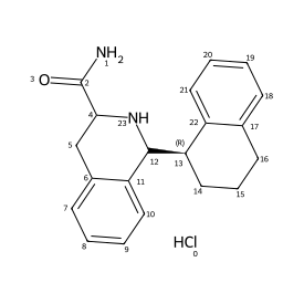 Cl.NC(=O)C1Cc2ccccc2C([C@@H]2CCCc3ccccc32)N1